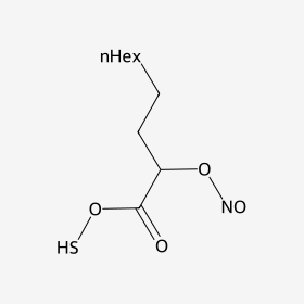 CCCCCCCCC(ON=O)C(=O)OS